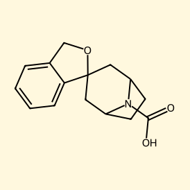 O=C(O)N1C2CCC1CC1(C2)OCc2ccccc21